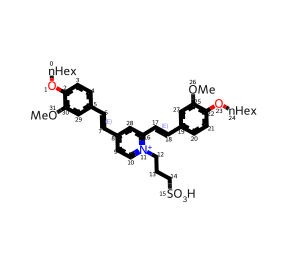 CCCCCCOc1ccc(/C=C/c2cc[n+](CCCS(=O)(=O)O)c(/C=C/c3ccc(OCCCCCC)c(OC)c3)c2)cc1OC